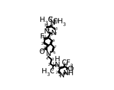 CC(CCCn1ccc2cc(-c3ncc(N(C)C)cn3)c(F)cc2c1=O)Nc1cn[nH]c(=O)c1C(F)(F)F